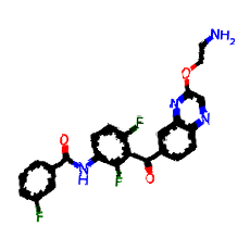 NCCOc1cnc2ccc(C(=O)c3c(F)ccc(NC(=O)c4cccc(F)c4)c3F)cc2n1